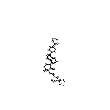 CC(C)(C)OC(=O)N1CCC(c2ncc3c(N4CCC(=O)N(COCC[Si](C)(C)C)C4=O)cccn23)CC1